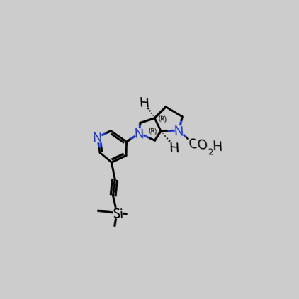 C[Si](C)(C)C#Cc1cncc(N2C[C@H]3CCN(C(=O)O)[C@H]3C2)c1